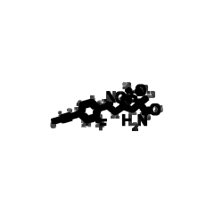 CC#Cc1ccc(C2=NOC(CC(C)(C(N)=O)S(C)(=O)=O)C2)c(F)c1